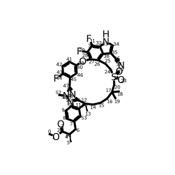 COC(=O)[C@H](C)Cc1cccc([C@@]2(C)CCCC(C)(C)CS(=O)(=O)CCc3c(c(F)c(F)c4[nH]cc(C#N)c34)Oc3ccc(F)c(c3)-c3nc2nn3C)c1